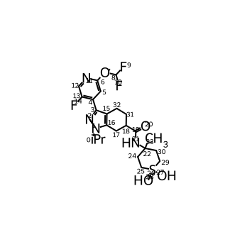 CC(C)n1nc(-c2cc(OC(F)F)ncc2F)c2c1CC(C(=O)NC1(C)CCS(O)(O)CC1)CC2